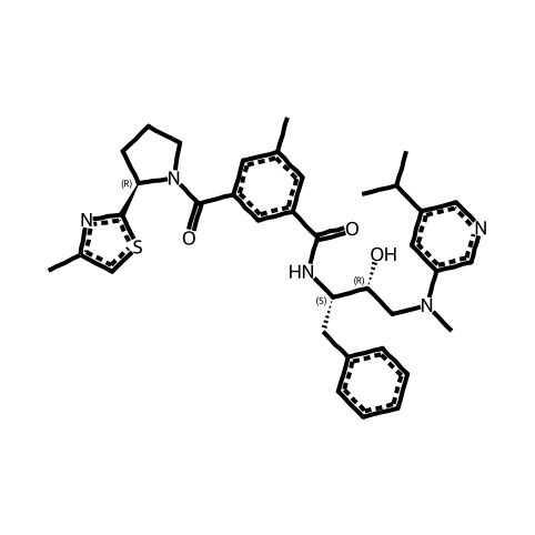 Cc1cc(C(=O)N[C@@H](Cc2ccccc2)[C@H](O)CN(C)c2cncc(C(C)C)c2)cc(C(=O)N2CCC[C@@H]2c2nc(C)cs2)c1